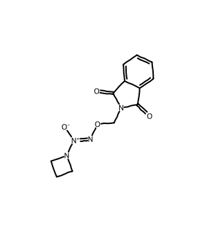 O=C1c2ccccc2C(=O)N1CON=[N+]([O-])N1CCC1